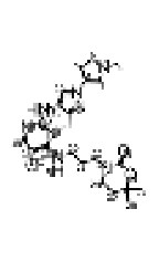 Cc1nn(C2CCN(C)C2)cc1Nc1ncc(C(F)(F)F)c(NCCCN2CCC(C)(C)OC2=O)n1